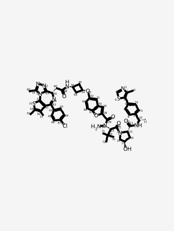 Cc1ncsc1-c1ccc([C@H](C)NC(=O)[C@@H]2C[C@@H](O)CN2C(=O)[C@@H](N(N)C(=O)c2cc3cc(O[C@H]4C[C@@H](NC(=O)C[C@@H]5N=C(c6ccc(Cl)cc6)c6c(sc(C)c6C)-n6c(C)nnc65)C4)ccc3o2)C(C)(C)C)cc1